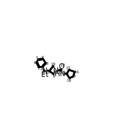 CCN(c1ccccc1)C1CN(C(=O)NC2CCCC2)C1